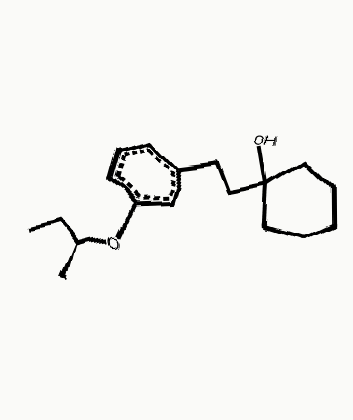 CC[C@H](C)Oc1cccc(CCC2(O)CCCCC2)c1